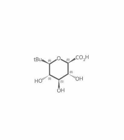 CC(C)(C)[C@H]1O[C@@H](C(=O)O)[C@H](O)[C@@H](O)[C@@H]1O